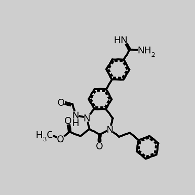 COC(=O)CC1C(=O)N(CCc2ccccc2)Cc2cc(-c3ccc(C(=N)N)cc3)ccc2N1NC=O